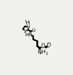 N[C@@H](CCCCNC(=O)C1NCCS1)OC=O